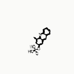 Cc1cc(OP(=O)(O)O)cc2cc3ccccc3nc12